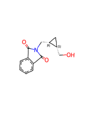 O=C1c2ccccc2C(=O)N1C[C@@H]1C[C@@H]1CO